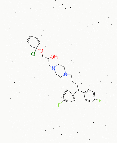 OC(COC1(Cl)C=CC=CC1)CN1CCN(CCCC(c2ccc(F)cc2)c2ccc(F)cc2)CC1